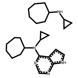 C1CCCC(NC2CC2)CC1.c1nc(N(C2CCCCCC2)C2CC2)c2cc[nH]c2n1